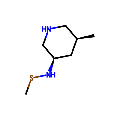 CSN[C@H]1CNC[C@@H](C)C1